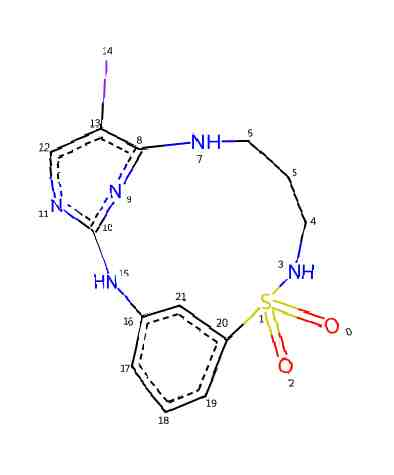 O=S1(=O)NCCCNc2nc(ncc2I)Nc2cccc1c2